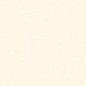 c1ccc(-c2nc(-c3ccccc3)nc(-n3c4ccccc4c4ccc5c6ccccc6n(-c6cccc7nc(-c8ccc9c(c8)-c8ccccc8C98CCCC8)oc67)c5c43)n2)cc1